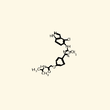 CC(C)NC(=O)COc1ccc(-c2nc(Nc3ccc4[nH]ncc4c3Cl)n(C)n2)cc1